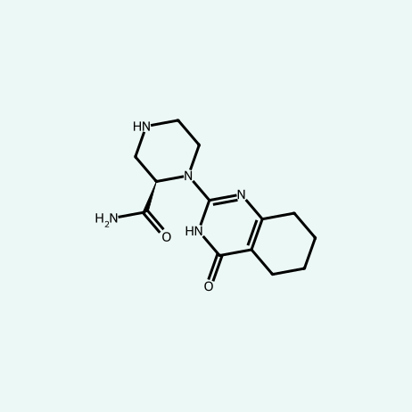 NC(=O)[C@H]1CNCCN1c1nc2c(c(=O)[nH]1)CCCC2